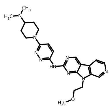 COCCn1c2cnccc2c2cnc(Nc3ccc(N4CCC(N(C)C)CC4)nn3)nc21